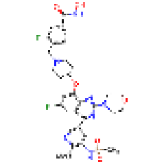 COc1ncc(-c2nc(N3CCOCC3)nc3c(OC4CCN(Cc5ccc(C(=O)NO)cc5F)CC4)cc(F)cc23)cc1NS(C)(=O)=O